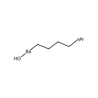 CCCCCC[CH2][Ba][OH]